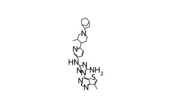 Cc1csc2c(-n3nc(Nc4ccc(C5CCN(C6CC7CCC6C7)CC5C)nc4)nc3N)ncnc12